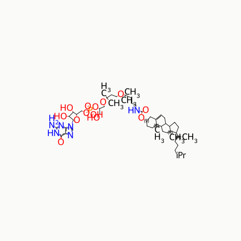 CC(C)CCC[C@@H](C)C1CCC2C3CC=C4C[C@@H](OC(=O)NCCCC(C)(C)OCCC(C)(C)OCC(CO)OP(=O)(O)OCC5OC(n6cnc7c(=O)[nH]c(N)nc76)C(O)C5O)CC[C@]4(C)C3CC[C@@]21C